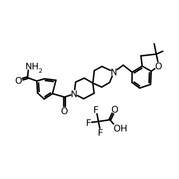 CC1(C)Cc2c(CN3CCC4(CC3)CCN(C(=O)c3ccc(C(N)=O)cc3)CC4)cccc2O1.O=C(O)C(F)(F)F